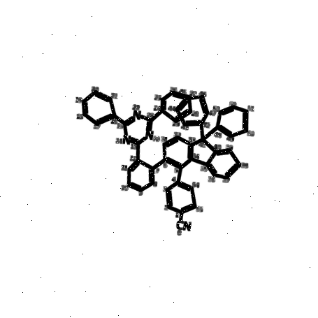 N#Cc1ccc(-c2c(-c3ccccc3-c3nc(-c4ccccc4)nc(-c4ccccc4)n3)ccc3c2-c2ccccc2C3(c2ccccc2)c2ccccc2)cc1